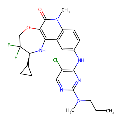 CCCN(C)c1ncc(Cl)c(Nc2ccc3c(c2)c2c(c(=O)n3C)OCC(F)(F)[C@H](C3CC3)N2)n1